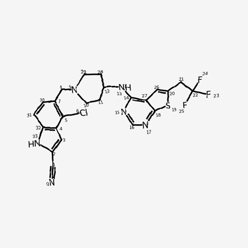 N#Cc1cc2c(Cl)c(CN3CCC(Nc4ncnc5sc(CC(F)(F)F)cc45)CC3)ccc2[nH]1